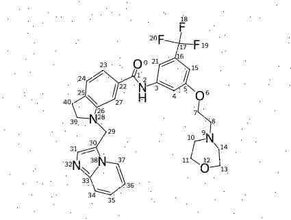 O=C(Nc1cc(OCCN2CCOCC2)cc(C(F)(F)F)c1)c1ccc2c(c1)N(Cc1cnc3ccccn13)CC2